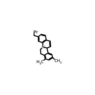 Cc1cc(C)c2c(c1)C1C=Cc3ccc(CC(C)C)cc3N1CC2